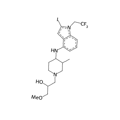 COCC(O)CN1CCC(Nc2cccc3c2cc(I)n3CC(F)(F)F)C(C)C1